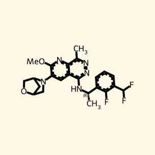 COc1nc2c(C)nnc(N[C@H](C)c3cccc(C(F)F)c3F)c2cc1N1CC2CC1CO2